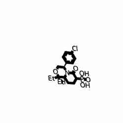 CCC1(CC)OC[C@@H](c2ccc(Cl)cc2)N2C(=O)C(P(=O)(O)O)CC[C@H]21